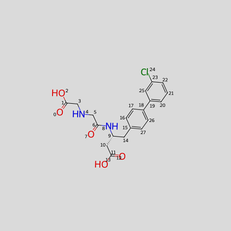 O=C(O)CNCC(=O)N[C@@H](CC(=O)O)Cc1ccc(-c2cccc(Cl)c2)cc1